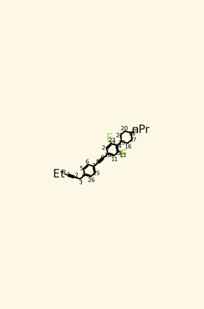 CCC#CCc1ccc(C#Cc2cc(F)c(C3CCC(CCC)CC3)c(F)c2)cc1